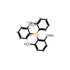 COc1cccc(C)c1P(c1ccccc1C(C)C)c1ccccc1S(=O)(=O)O